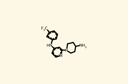 NC1CCN(c2cc(Nc3cccc(C(F)(F)F)c3)ccn2)CC1